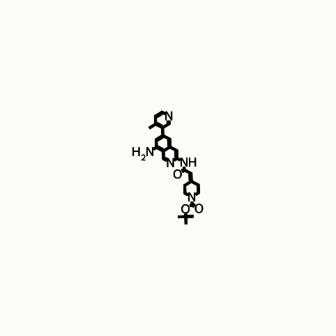 Cc1ccncc1-c1cc(N)c2cnc(NC(=O)C=C3CCN(C(=O)OC(C)(C)C)CC3)cc2c1